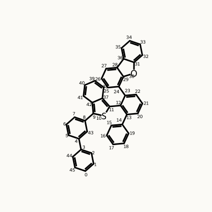 c1ccc(-c2cccc(-c3sc(-c4c(-c5ccccc5)cccc4-c4cccc5c4oc4ccccc45)c4ccccc34)c2)cc1